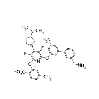 Cc1ccc(C(=O)O)c(Oc2nc(Oc3cc(N)cc(-c4cccc(CN)c4)c3)c(F)c(N3CCC(N(C)C)C3)c2F)c1